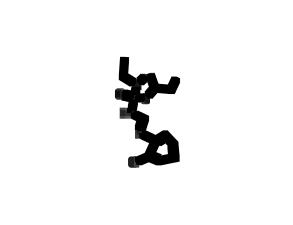 CCC(C)SP(=O)(NC=Nc1ccccc1Cl)N(C)CC